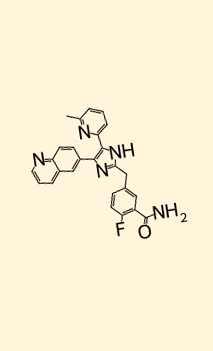 Cc1cccc(-c2[nH]c(Cc3ccc(F)c(C(N)=O)c3)nc2-c2ccc3ncccc3c2)n1